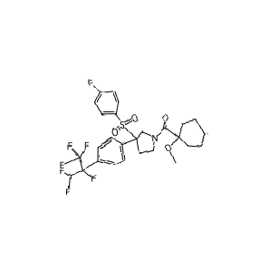 COC1(C(=O)N2CCC(c3ccc(C(F)(C(F)F)C(F)(F)F)cc3)(S(=O)(=O)c3ccc(F)cc3)C2)CC[CH]CC1